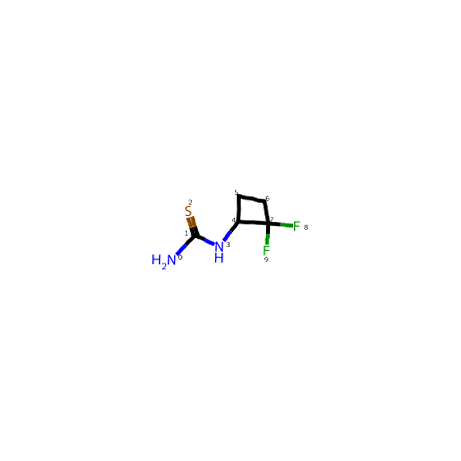 NC(=S)NC1CCC1(F)F